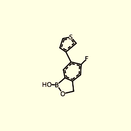 OB1OCc2cc(F)c(-c3ccsc3)cc21